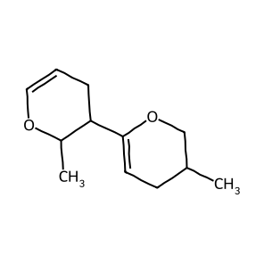 CC1CC=C(C2CC=COC2C)OC1